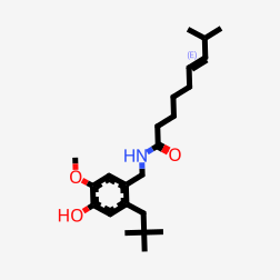 COc1cc(CNC(=O)CCCC/C=C/C(C)C)c(CC(C)(C)C)cc1O